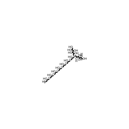 CNCC(O)COCC(O)COCC(O)COCC(O)COCC(O)COCC(O)COCC(O)CN(C[C@H](O)[C@@H](O)[C@H](O)[C@H](O)CO)C[C@H](O)[C@@H](O)[C@H](O)[C@H](O)CO